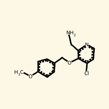 COc1ccc(COc2c(Cl)ccnc2CN)cc1